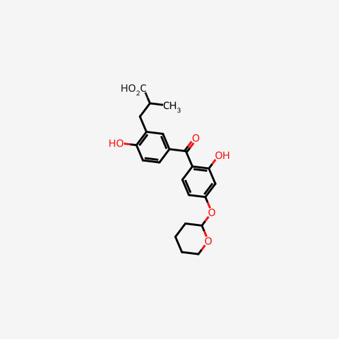 CC(Cc1cc(C(=O)c2ccc(OC3CCCCO3)cc2O)ccc1O)C(=O)O